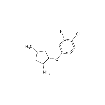 CN1CC(N)[C@@H](Oc2ccc(Cl)c(F)c2)C1